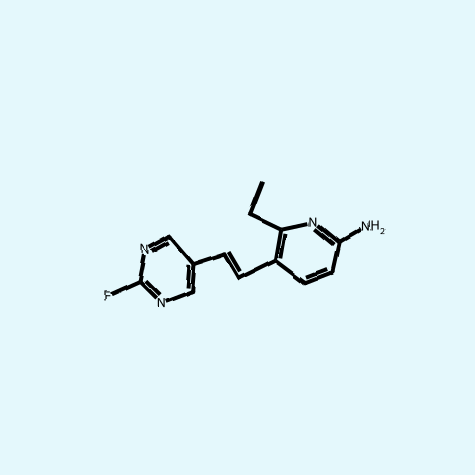 CCc1nc(N)ccc1C=Cc1cnc(F)nc1